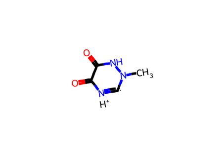 Cn1[c]nc(=O)c(=O)[nH]1.[H+]